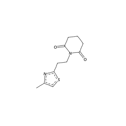 Cc1csc(CCN2C(=O)CCCC2=O)n1